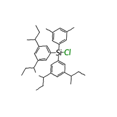 CCC(C)c1cc(C(C)CC)cc([Si](Cl)(c2cc(C)cc(C)c2)c2cc(C(C)CC)cc(C(C)CC)c2)c1